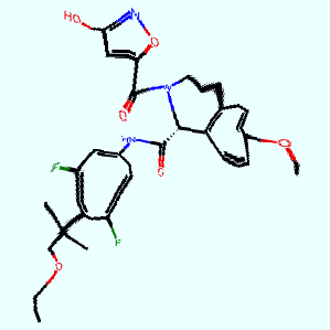 CCOCC(C)(C)c1c(F)cc(NC(=O)[C@H]2c3ccc(OC)cc3CCN2C(=O)c2cc(O)no2)cc1F